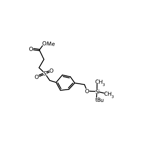 COC(=O)CCS(=O)(=O)Cc1ccc(CO[Si](C)(C)C(C)(C)C)cc1